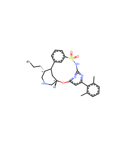 Cc1cccc(C)c1-c1cc2nc(n1)NS(=O)(=O)c1cccc(c1)C1C[C@@H](CNC[C@@H]1CCC(C)C)O2